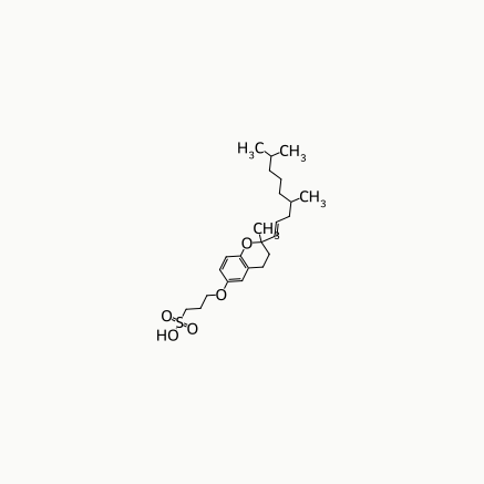 CC(C)CCCC(C)C/C=C/C1(C)CCc2cc(OCCCS(=O)(=O)O)ccc2O1